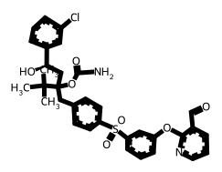 CC(C)(C)C(Cc1ccc(S(=O)(=O)c2cccc(Oc3ncccc3C=O)c2)cc1)(C[C@@H](O)c1cccc(Cl)c1)OC(N)=O